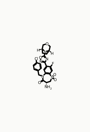 N[C@H]1CS(=O)(=O)c2cc(F)c(-c3noc(N4[C@@H]5CC[C@H]4COC5)n3)cc2N(Cc2ccc(Cl)cc2)C1=O